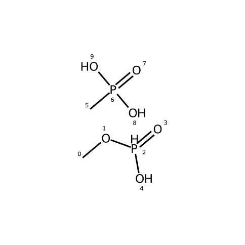 CO[PH](=O)O.CP(=O)(O)O